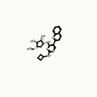 OC[C@H]1C[C@@H](Nc2nc(NC3CCC3)ncc2-c2ccc3ccccc3n2)[C@H](O)[C@@H]1O